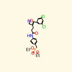 CCOP(=O)(Cc1ccc(NC(=O)CCc2cnoc2-c2cc(Cl)cc(Cl)c2)cc1)OCC